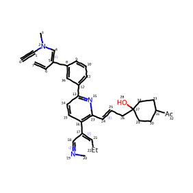 C#CN(C)/C=C(\C=C)c1cccc(-c2ccc(C(/C=N\C)=C/CC)c(/C=C/CC3(O)CCC(C(C)=O)CC3)n2)c1